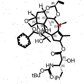 C=C[C@@H]1O[C@H]2C[C@H]3OC[C@@]3(OC(C)=O)[C@H]3[C@H](OC(=O)c4ccccc4)[C@]4(C(C)(C)O)CC(OC(=O)[C@H](O)[C@H](CC(C)C)NC(=O)OC(C)(C)C)C(C)=C4[C@H](C)[C@H](O1)[C@]23C